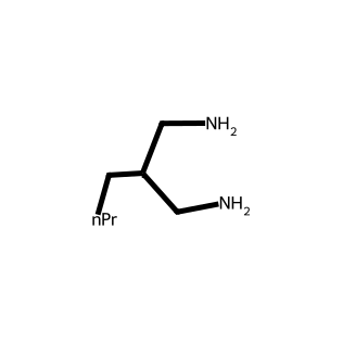 CCCC[C](CN)CN